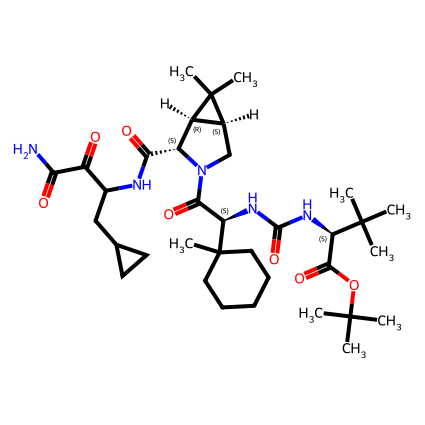 CC(C)(C)OC(=O)[C@@H](NC(=O)N[C@H](C(=O)N1C[C@H]2[C@@H]([C@H]1C(=O)NC(CC1CC1)C(=O)C(N)=O)C2(C)C)C1(C)CCCCC1)C(C)(C)C